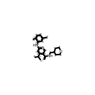 C=C(NCC1CCOCC1)c1cnc(Nc2cc(F)ccc2C)cc1C(C)C